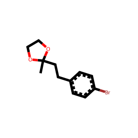 CC1(CCc2ccc(Br)cc2)OCCO1